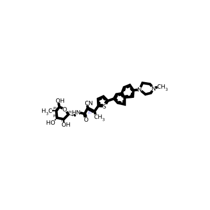 C/C(=C(/C#N)C(=O)NC[C@H]1OC(O)[C@H](C)[C@@H](O)[C@@H]1O)c1ccc(-c2ccc3cc(N4CCN(C)CC4)ccc3c2)s1